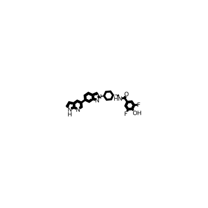 O=C(NC[C@H]1CC[C@H](n2cc3ccc(-c4cnc5[nH]ccc5c4)cc3n2)CC1)c1cc(F)c(O)c(F)c1